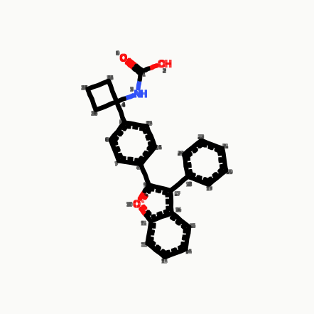 O=C(O)NC1(c2ccc(-c3oc4ccccc4c3-c3ccccc3)cc2)CCC1